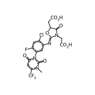 Cn1c(C(F)(F)F)cc(=O)n(-c2cc(/N=C3\OC(CC(=O)O)C(=O)N3CC(=O)O)c(Cl)cc2F)c1=O